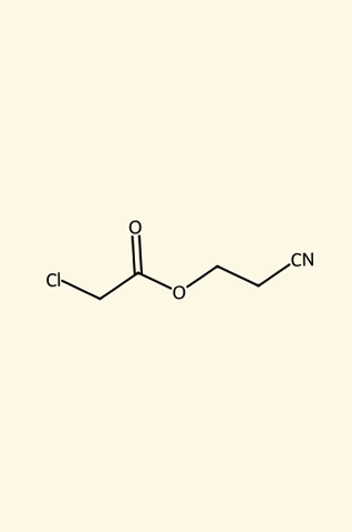 N#CCCOC(=O)CCl